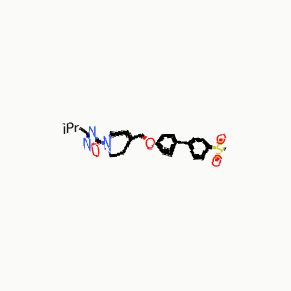 CC(C)c1noc(N2CCC(COc3ccc(-c4ccc(S(C)(=O)=O)cc4)cc3)CC2)n1